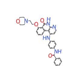 O=C(Nc1ccc(Nc2ccnc3[nH]c(=O)c4c(OCCN5CCOCC5)cccc4c23)cc1)c1ccccc1